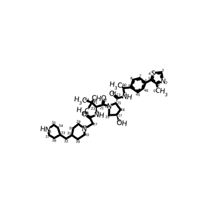 Cc1ncsc1-c1ccc([C@H](C)NC(=O)[C@@H]2C[C@@H](O)CN2C(=O)[C@@H](NC(=O)CN2CCC(CC3CCNCC3)CC2)C(C)(C)C)cc1